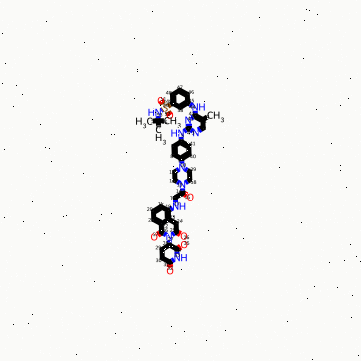 Cc1cnc(Nc2ccc(N3CCN(C(=O)CNc4cccc5c4CC(=O)N(C4CCC(=O)NC4=O)C5=O)CC3)cc2)nc1Nc1cccc(S(=O)(=O)NC(C)(C)C)c1